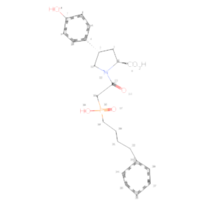 O=C(O)[C@@H]1C[C@@H](c2ccc(O)cc2)CN1C(=O)CP(=O)(O)CCCCc1ccccc1